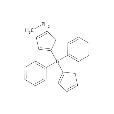 C1=CC[C]([Ti]([C]2=CC=CC2)([c]2ccccc2)[c]2ccccc2)=C1.CP